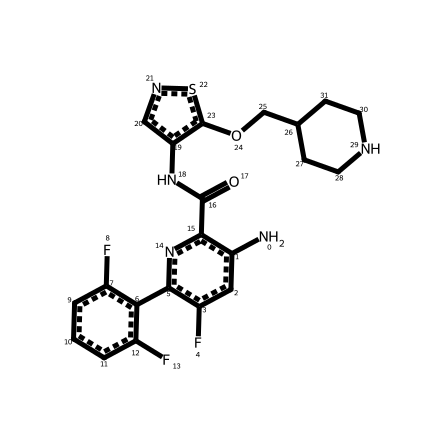 Nc1cc(F)c(-c2c(F)cccc2F)nc1C(=O)Nc1cnsc1OCC1CCNCC1